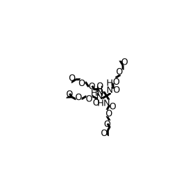 O=C(COCCOCC1CO1)NCC(CNC(=O)COCCOCC1CO1)(CNC(=O)COCCOCC1CO1)CNC(=O)COCCOCC1CO1